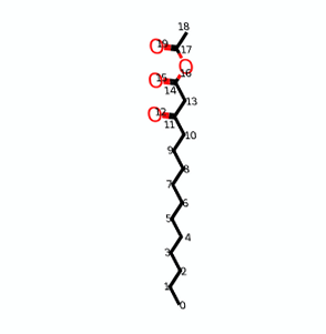 CCCCCCCCCCCC(=O)CC(=O)OC(C)=O